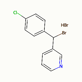 Br.Clc1ccc(C(Br)c2cccnc2)cc1